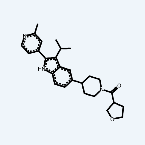 Cc1cc(-c2[nH]c3ccc(C4CCN(C(=O)C5CCOC5)CC4)cc3c2C(C)C)ccn1